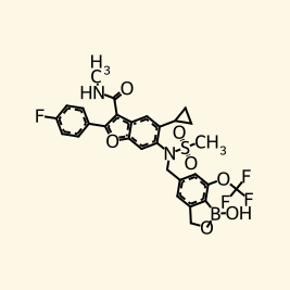 CNC(=O)c1c(-c2ccc(F)cc2)oc2cc(N(Cc3cc4c(c(OC(F)(F)F)c3)B(O)OC4)S(C)(=O)=O)c(C3CC3)cc12